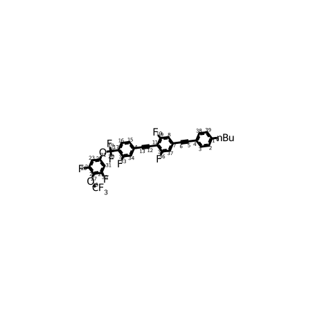 CCCCc1ccc(C#Cc2cc(F)c(C#Cc3ccc(C(F)(F)Oc4cc(F)c(OC(F)(F)F)c(F)c4)c(F)c3)c(F)c2)cc1